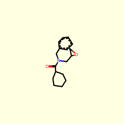 O=C(C1CCCCC1)N(Cc1ccccc1)CC1CO1